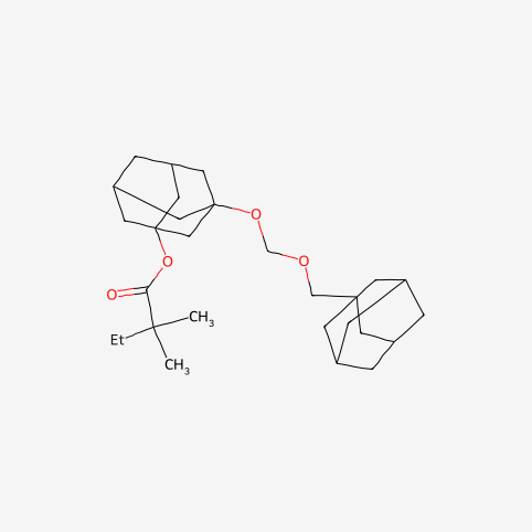 CCC(C)(C)C(=O)OC12CC3CC(CC(OCOCC45CC6CC(CC(C6)C4)C5)(C3)C1)C2